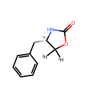 [2H]C1([2H])OC(=O)N[C@H]1Cc1ccccc1